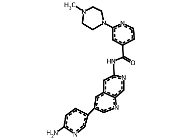 CN1CCN(c2cc(C(=O)Nc3cc4cc(-c5ccc(N)nc5)cnc4cn3)ccn2)CC1